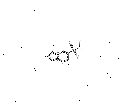 COS(=O)(=O)c1ccc2ccsc2c1